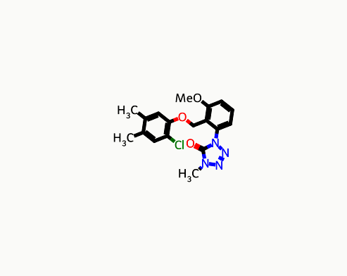 COc1cccc(-n2nnn(C)c2=O)c1COc1cc(C)c(C)cc1Cl